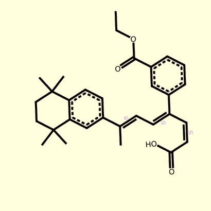 CCOC(=O)c1cccc(C(/C=C\C(=O)O)=C\C=C(/C)c2ccc3c(c2)C(C)(C)CCC3(C)C)c1